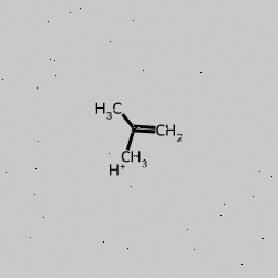 C=C(C)C.[H+]